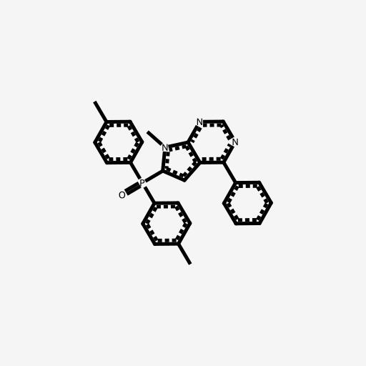 Cc1ccc(P(=O)(c2ccc(C)cc2)c2cc3c(-c4ccccc4)ncnc3n2C)cc1